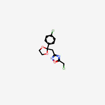 ClCc1nc(CC2(c3ccc(Cl)cc3)OCCO2)no1